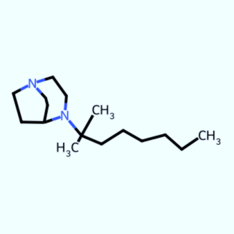 CCCCCCC(C)(C)N1CCN2CCC1CC2